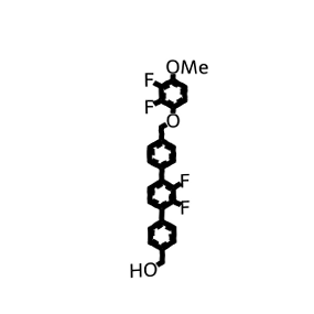 COc1ccc(OCc2ccc(-c3ccc(-c4ccc(CO)cc4)c(F)c3F)cc2)c(F)c1F